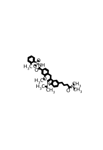 COc1cc(C(=O)NS(=O)(=O)c2ccccc2C)ccc1Cc1cn(C(C)C)c2ccc(CCCC(=O)N(C)C)cc12